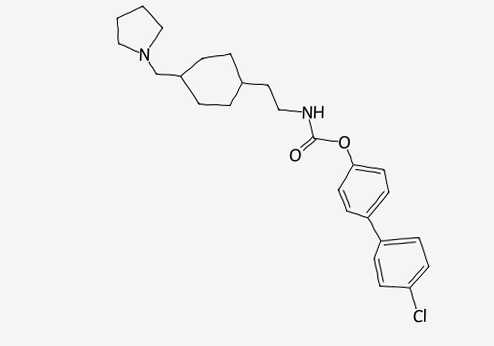 O=C(NCCC1CCC(CN2CCCC2)CC1)Oc1ccc(-c2ccc(Cl)cc2)cc1